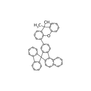 CC1(C)c2ccccc2Oc2c(-c3ccc4c(c3)C3(c5ccccc5-c5ccccc53)c3ccc5ccccc5c3-4)cccc21